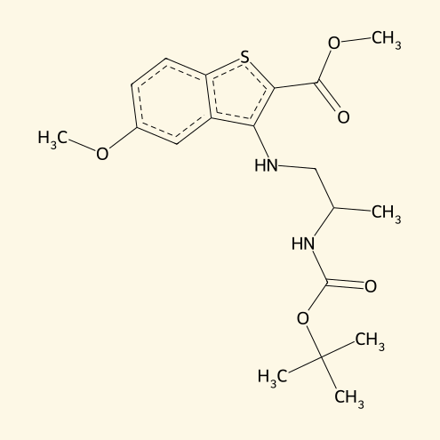 COC(=O)c1sc2ccc(OC)cc2c1NCC(C)NC(=O)OC(C)(C)C